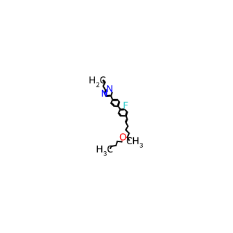 C=CCc1ncc(-c2ccc(-c3ccc(C=CCCCC(C)OCCCCC)cc3F)cc2)cn1